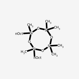 CCCCCCCC[Si]1(C)O[Si](C)(C)O[Si](C)(C)O[Si](C)(CCCCCCCC)O1